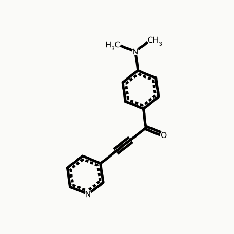 CN(C)c1ccc(C(=O)C#Cc2cccnc2)cc1